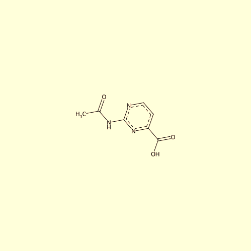 CC(=O)Nc1nccc(C(=O)O)n1